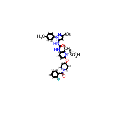 CS(=O)(=O)O.Cc1ccc(-n2nc(C(C)(C)C)cc2NC(=O)Nc2ccc(OC3CCN(C(=O)c4ccccc4F)CC3)nc2C)cc1